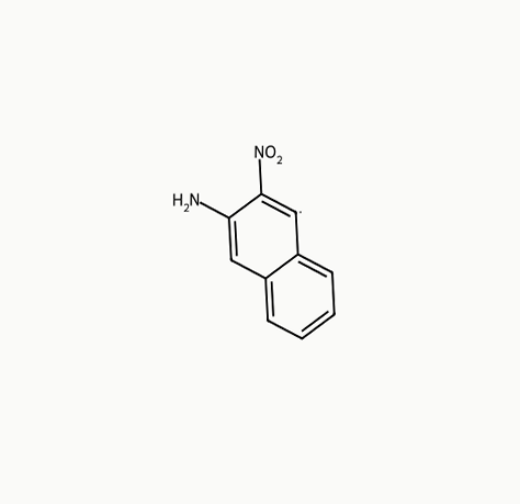 Nc1cc2ccccc2[c]c1[N+](=O)[O-]